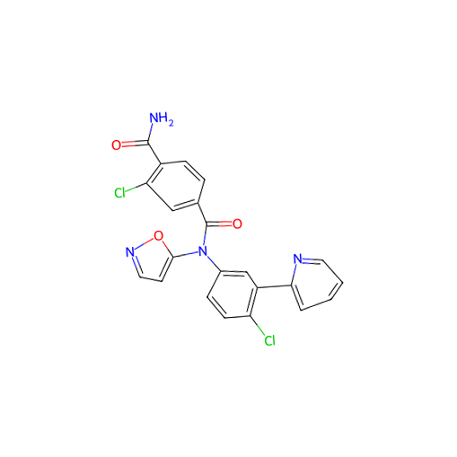 NC(=O)c1ccc(C(=O)N(c2ccc(Cl)c(-c3ccccn3)c2)c2ccno2)cc1Cl